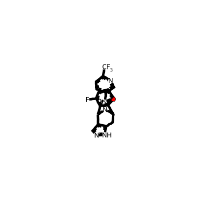 O=S(=O)(c1ccc(C(F)(F)F)nc1)N1C2Cc3[nH]ncc3C1c1c(F)cccc12